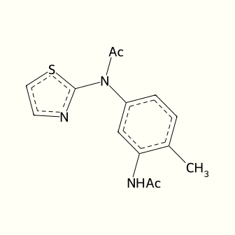 CC(=O)Nc1cc(N(C(C)=O)c2nccs2)ccc1C